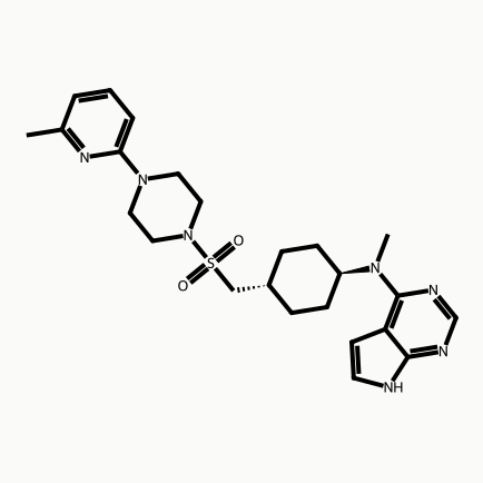 Cc1cccc(N2CCN(S(=O)(=O)C[C@H]3CC[C@H](N(C)c4ncnc5[nH]ccc45)CC3)CC2)n1